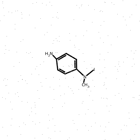 CN(I)c1ccc(N)cc1